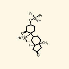 CC(C)[Si](O[C@H]1CC[C@](C)([C@H]2CC[C@]3(C)CC(=O)C[C@H]3[C@@H]2CC(=O)O)C(=O)C1)(C(C)C)C(C)C